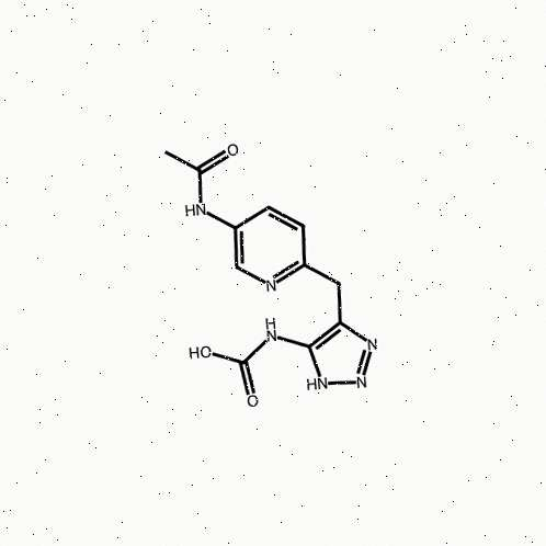 CC(=O)Nc1ccc(Cc2nn[nH]c2NC(=O)O)nc1